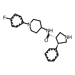 O=C(NC1CCN(c2ccc(F)cc2)CC1)[C@@H]1CNC[C@H]1c1ccccc1